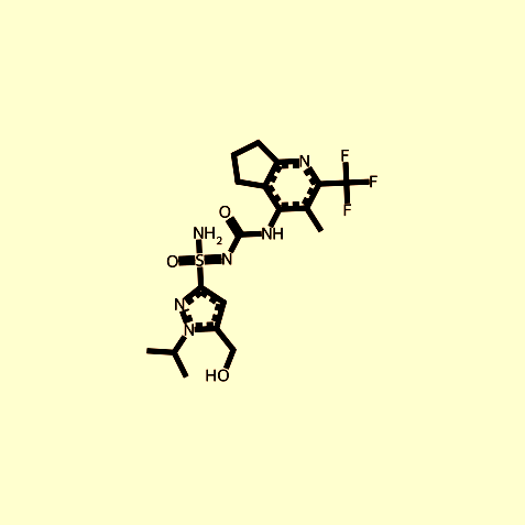 Cc1c(C(F)(F)F)nc2c(c1NC(=O)N=S(N)(=O)c1cc(CO)n(C(C)C)n1)CCC2